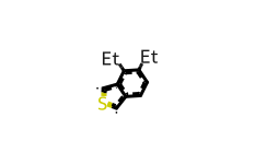 CCc1ccc2[c]s[c]c2c1CC